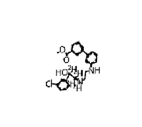 [2H]N(CCNc1cccc(-c2cccc(C(=O)OC)c2)c1)C([2H])([2H])[C@]([2H])(O)c1cccc(Cl)c1